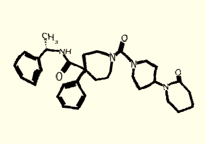 C[C@H](NC(=O)C1(c2ccccc2)CCN(C(=O)N2CCC(N3CCCCC3=O)CC2)CC1)c1ccccc1